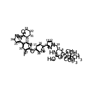 CC(C)(C)[Si](C)(C)OC[C@H](Cn1ccc(-c2ccc(Oc3ncc(-c4ccnn4C4CCCCO4)cc3F)cn2)n1)NC(=O)O